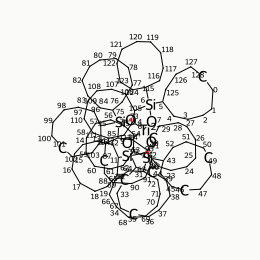 C1CCCCC([Si]([O][Ti-2]([O][Si](C2CCCCCCCCC2)(C2CCCCCCCCC2)C2CCCCCCCCC2)([O][Si](C2CCCCCCCCC2)(C2CCCCCCCCC2)C2CCCCCCCCC2)[O][Si](C2CCCCCCCCC2)(C2CCCCCCCCC2)C2CCCCCCCCC2)(C2CCCCCCCCC2)C2CCCCCCCCC2)CCCC1